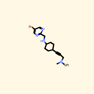 CCCN(C)CC#CC1CCC(NCc2ncc(Br)cn2)CC1